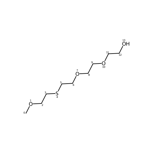 COCCSCCOCCOCCO